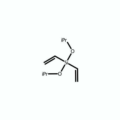 C=C[Si](C=C)(OC(C)C)OC(C)C